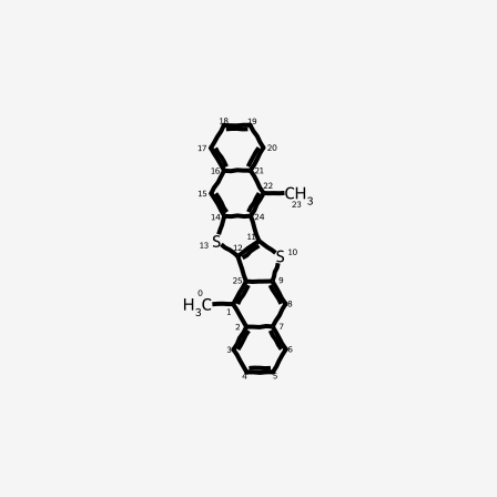 Cc1c2ccccc2cc2sc3c(sc4cc5ccccc5c(C)c43)c12